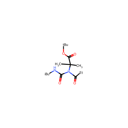 CCC(=O)N(C(=O)NC(C)CC)C(C)(C)C(=O)OC(C)(C)C